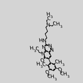 CCN(CC)CCCCNc1nnc2cc(-c3c(C)c(OC)cc(OC)c3C)c(=O)n(CC)c2n1